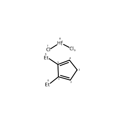 CCC1=C[CH]C=C1CC.[Cl][Hf][Cl]